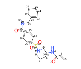 C=CC(=O)N[C@H]1CCCN(S(=O)(=O)c2ccc(C(=O)N(C)Cc3ccccc3)cc2)C1